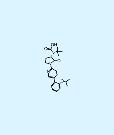 CC(C)Oc1ccccc1-c1ccc(N2CC[C@H](N(C(=O)O)C(C)(C)C)C2=O)nc1